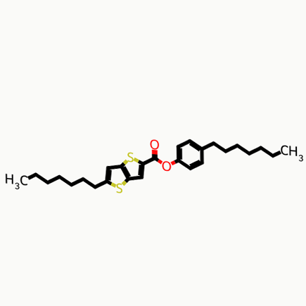 CCCCCCCc1ccc(OC(=O)c2cc3sc(CCCCCCC)cc3s2)cc1